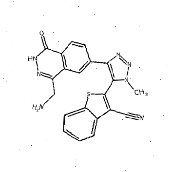 Cn1nnc(-c2ccc3c(=O)[nH]nc(CN)c3c2)c1-c1sc2ccccc2c1C#N